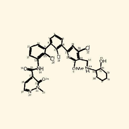 COc1nc(-c2cccc(-c3cccc(NC(=O)c4ccnn(C)c4=O)c3Cl)c2Cl)cc(Cl)c1CNC1CCCC[C@@H]1O